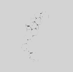 CC(C)(C)OC(=O)N1CCC[C@@H](C(=O)O[C@H]2CC[C@@]3(C)[C@@H](C2)C(=O)C[C@@H]2[C@@H]3CC[C@]3(C)C(=O)CC[C@@H]23)C1